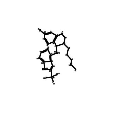 COCCCC1COc2cc(F)ccc2C1Nc1ncnc2[nH]c(C(F)(F)F)cc12